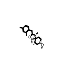 CON1CCC(N)(N(C)C(=O)Cc2ccc(C)cc2C)CC1